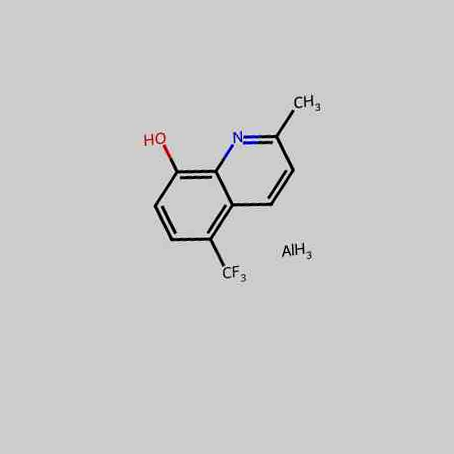 Cc1ccc2c(C(F)(F)F)ccc(O)c2n1.[AlH3]